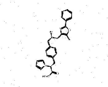 COC(=O)[C@H](Cc1ccc(CN(Cc2nc(-c3ccccc3)oc2C)C(C)=O)cc1)n1cccc1